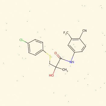 CC(O)(CSc1ccc(Cl)cc1)C(=O)Nc1ccc(C#N)c(C(F)(F)F)c1